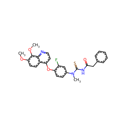 COc1ccc2c(Oc3ccc(N(C)C(=S)NC(=O)Cc4ccccc4)cc3F)ccnc2c1OC